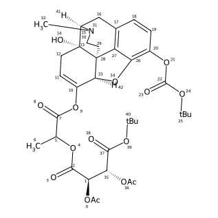 CC(=O)O[C@@H](C(=O)OC(C)C(=O)OC1=CC[C@@]2(O)[C@H]3Cc4ccc(OC(=O)OC(C)(C)C)c5c4[C@@]2(CCN3C)[C@H]1O5)[C@@H](OC(C)=O)C(=O)OC(C)(C)C